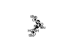 CC[C@H](C)[C@@H](C(=O)N1CCN(C(=O)OC(C)(C)C)CC1)n1cc([C@H](CO)NC(=O)OC(C)(C)C)nn1